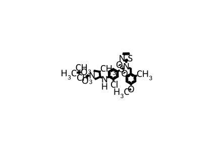 COc1ccc(CN(c2nccs2)S(=O)(=O)c2ccc(NC3CN(C(=O)OC(C)(C)C)C[C@H]3C)c(Cl)c2)c(C)c1